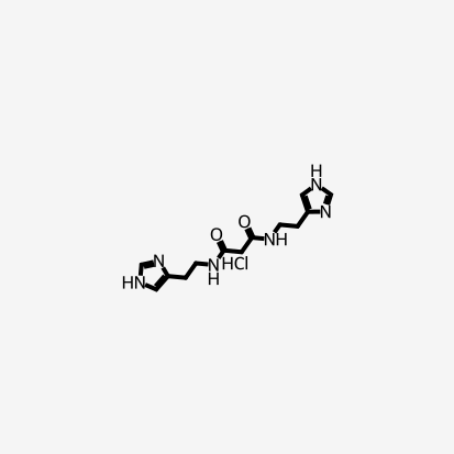 Cl.O=C(CC(=O)NCCc1c[nH]cn1)NCCc1c[nH]cn1